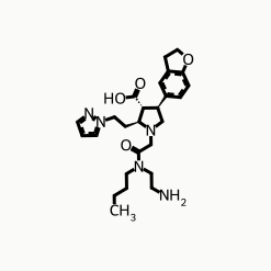 CCCCN(CCN)C(=O)CN1C[C@H](c2ccc3c(c2)CCO3)[C@@H](C(=O)O)[C@@H]1CCn1cccn1